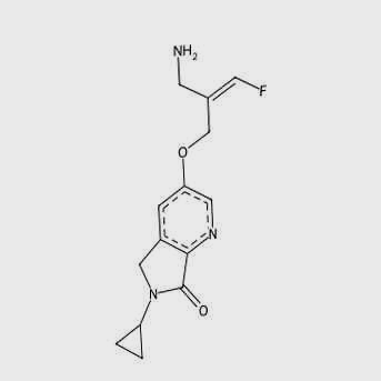 NC/C(=C/F)COc1cnc2c(c1)CN(C1CC1)C2=O